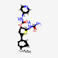 COc1ccc(-c2cc(OC(=O)Nc3ccncc3)c(NC(N)=O)s2)cc1